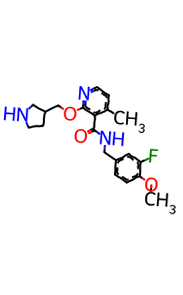 COc1ccc(CNC(=O)c2c(C)ccnc2OCC2CCNC2)cc1F